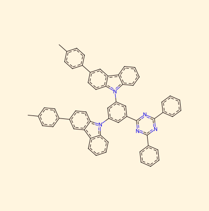 Cc1ccc(-c2ccc3c(c2)c2ccccc2n3-c2cc(-c3nc(-c4ccccc4)nc(-c4ccccc4)n3)cc(-n3c4ccccc4c4cc(-c5ccc(C)cc5)ccc43)c2)cc1